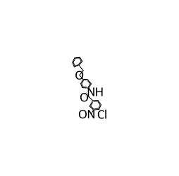 O=Nc1cc(C(=O)Nc2ccc(OCc3ccccc3)cc2)ccc1Cl